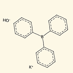 [K+].[OH-].c1ccc(B(c2ccccc2)c2ccccc2)cc1